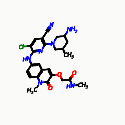 CNC(=O)COc1cc2cc(Nc3nc(N4CC(C)CC(N)C4)c(C#N)cc3Cl)ccc2n(C)c1=O